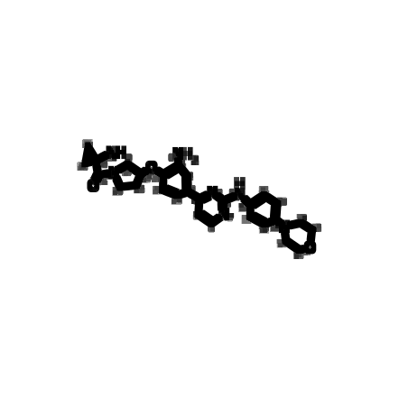 Nc1cc(-c2ccnc(Nc3ccc(N4CCOCC4)cc3)n2)ccc1OC1CCN(C(=O)C2(N)CC2)C1